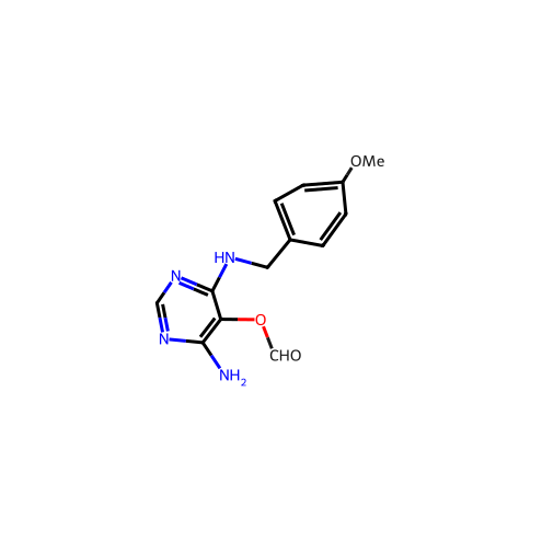 COc1ccc(CNc2ncnc(N)c2OC=O)cc1